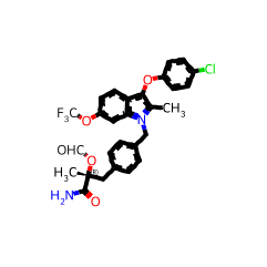 Cc1c(Oc2ccc(Cl)cc2)c2ccc(OC(F)(F)F)cc2n1Cc1ccc(C[C@@](C)(OC=O)C(N)=O)cc1